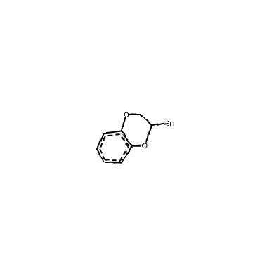 SC1COc2ccccc2O1